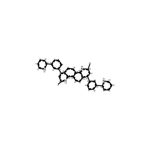 Cc1cc(-c2cccc(-c3ccccn3)c2)c2ccc3c(ccc4c(-c5cccc(-c6ccccn6)c5)cc(C)nc43)c2n1